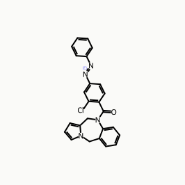 O=C(c1ccc(/N=N/c2ccccc2)cc1Cl)N1Cc2cccn2Cc2ccccc21